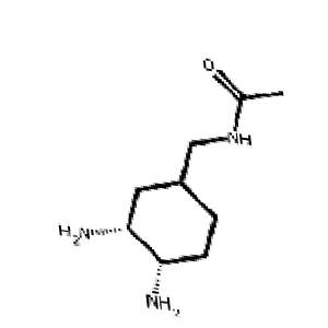 CC(=O)NCC1CC[C@H](N)[C@H](N)C1